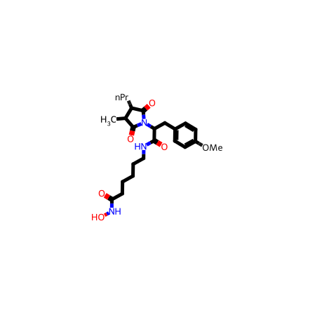 CCCC1C(=O)N(C(Cc2ccc(OC)cc2)C(=O)NCCCCCC(=O)NO)C(=O)C1C